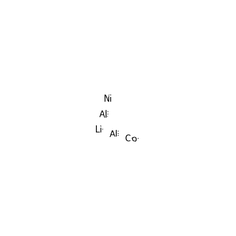 [Al].[Al].[Co].[Li].[Ni]